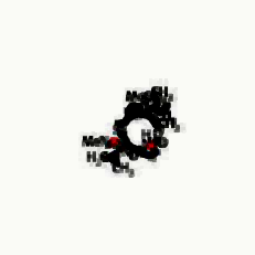 CCn1c(-c2cccnc2[C@H](C)OC)c2c3cc(ccc31)-c1csc(n1)[C@@H](OCCNC)[C@H](NC(=O)[C@H]1[C@H](C)[C@@H]1C)C(=O)N1CCC[C@H](N1)C(=O)OCC(C)(C)C2